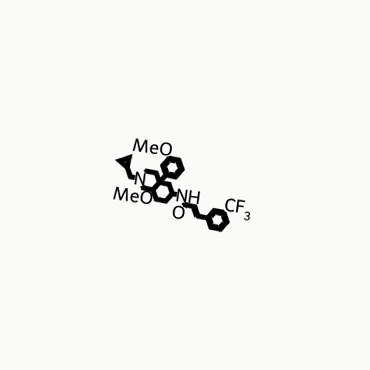 COc1cccc(C23CCN(CC4CC4)CC2(OC)CCC(NC(=O)/C=C/c2cccc(C(F)(F)F)c2)C3)c1